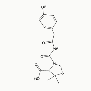 CC1(C)SCN(C(=O)NC(=O)Cc2ccc(O)cc2)C1C(=O)O